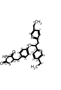 CCc1ccc(CC(Oc2ccc(CC3SC(=O)NC3=O)cc2)c2ccc(CC)cn2)nc1